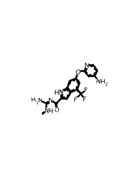 CNC(N)=NC(=O)c1cc2c(C(F)(F)F)cc(Oc3cc(N)ccn3)cc2[nH]1